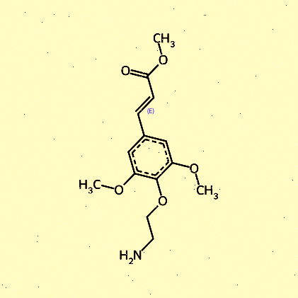 COC(=O)/C=C/c1cc(OC)c(OCCN)c(OC)c1